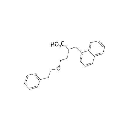 O=C(O)C(CCOCCc1ccccc1)Cc1cccc2ccccc12